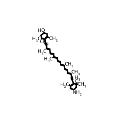 CC1=C(C#C/C(C)=C/C=C/C(C)=C/C=C/C=C(C)/C=C/C=C(\C)C#CC2=C(C)CC(O)CC2(C)C)C(C)(C)CC(N)C1